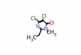 CCc1nc(Cl)c(Cl)c(=O)n1C